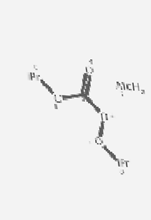 CC(C)OOC(=O)OC(C)C.[MgH2]